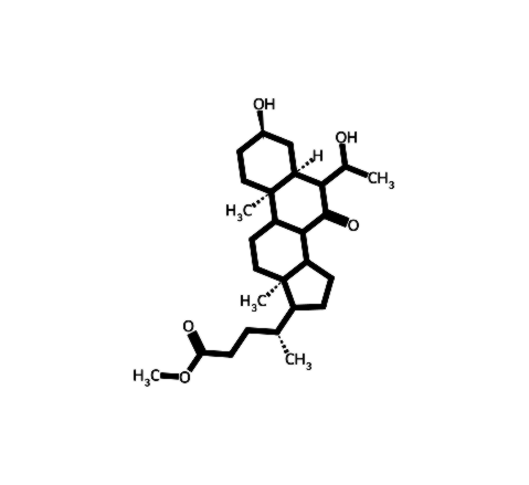 COC(=O)CC[C@@H](C)C1CCC2C3C(=O)C(C(C)O)[C@@H]4C[C@H](O)CC[C@]4(C)C3CC[C@@]21C